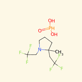 CC1(CC(F)(F)F)CCCN1CC(F)(F)F.O=[PH](O)O